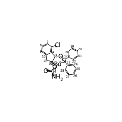 CC(C)(C)[Si](O[C@H]1c2c(Cl)cccc2C[C@@H]1OC(N)=O)(c1ccccc1)c1ccccc1